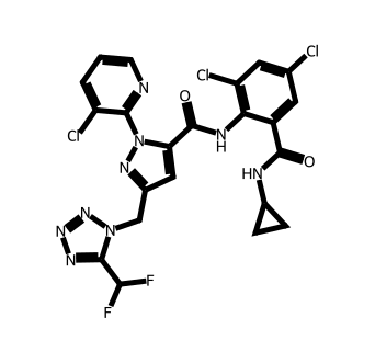 O=C(NC1CC1)c1cc(Cl)cc(Cl)c1NC(=O)c1cc(Cn2nnnc2C(F)F)nn1-c1ncccc1Cl